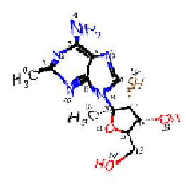 Cc1nc(N)c2ncn([C@]3(C)O[C@H](CO)[C@@H](O)[C@H]3S)c2n1